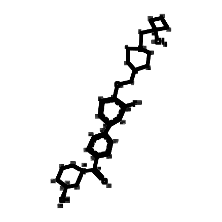 CC1(CN2CCC(COc3ccc(-c4ccc(C(=O)N5CCC[C@H](O)C5)cc4)cc3F)CC2)CCC1